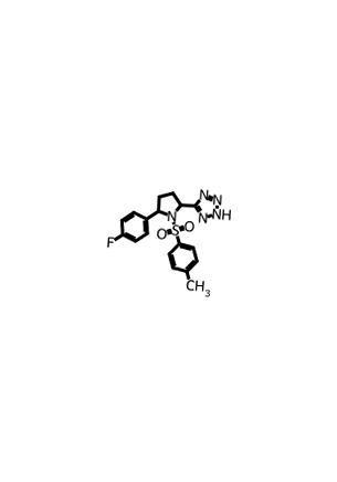 Cc1ccc(S(=O)(=O)N2C(c3ccc(F)cc3)CCC2c2nn[nH]n2)cc1